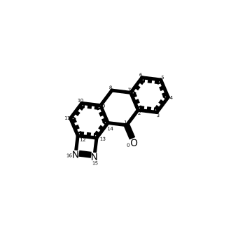 O=C1c2ccccc2Cc2ccc3c(c21)N=N3